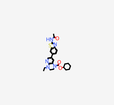 CCN1CCN(C(=O)OC2CCCCC2)c2cc(-c3ccc4nc(NC(C)=O)sc4c3)cnc21